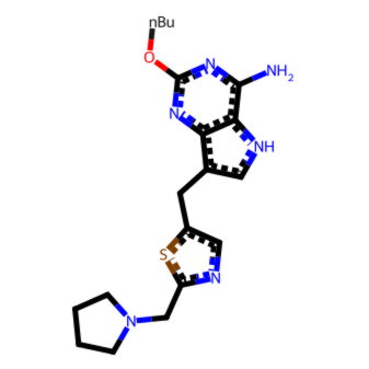 CCCCOc1nc(N)c2[nH]cc(Cc3cnc(CN4CCCC4)s3)c2n1